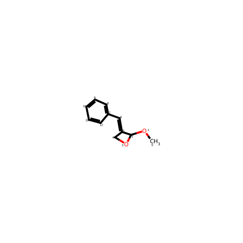 COC1OC/C1=C\c1ccccc1